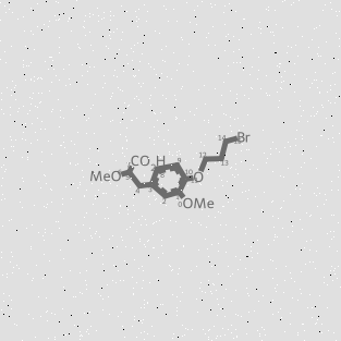 COc1cc(CC(OC)C(=O)O)ccc1OCCCBr